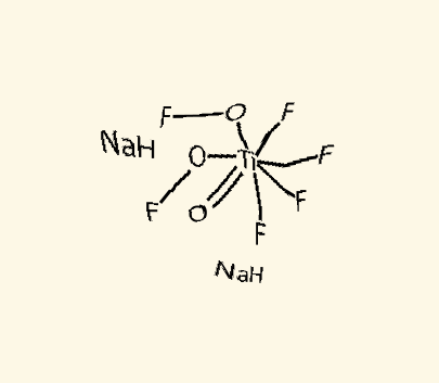 [NaH].[NaH].[O]=[Ti]([F])([F])([F])([F])([O]F)[O]F